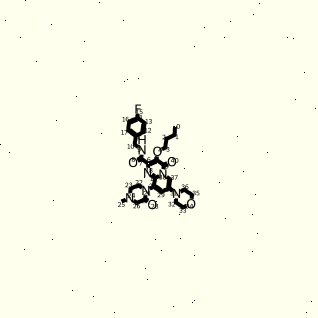 CCCCOc1c(C(=O)NCc2ccc(F)cc2)nc2c(N3CCN(C)CC3=O)cc(N3CCOCC3)cn2c1=O